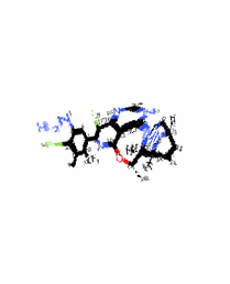 Cc1c(F)c(N)cc(-c2nc3c4c(ncnc4c2F)N2C[C@H]4CC[C@H](N4)[C@H]2[C@H](C)O3)c1C(F)(F)F